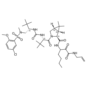 C=CCNC(=O)C(=O)C(CCCC)NC(=O)[C@@H]1[C@@H]2[C@H](CN1C(=O)[C@@H](NC(=O)N[C@H](CN(C)S(=O)(=O)c1cc(Cl)ccc1OC)C(C)(C)C)C(C)(C)C)C2(C)C